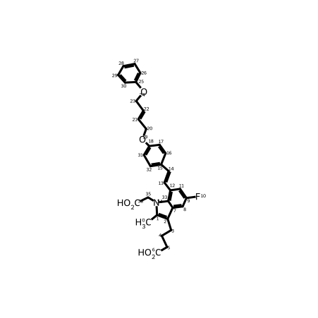 Cc1c(CCCC(=O)O)c2cc(F)cc(/C=C/c3ccc(OC/C=C/COc4ccccc4)cc3)c2n1CC(=O)O